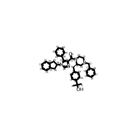 CC(C)(O)c1ccc(C[C@@H]2CN(Cc3ccccc3)CCN2C(=O)c2ncn(C3Cc4ccccc4C3)c2-c2ccccc2)cc1